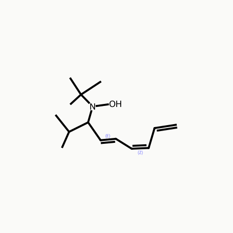 C=C/C=C\C=C\C(C(C)C)N(O)C(C)(C)C